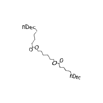 CCCCCCCCCCCCCCC(=O)OCCCCCCOC(=O)CCCCCCCCCCCCCC